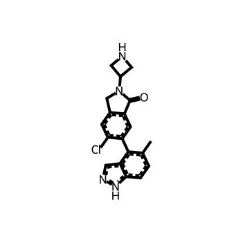 Cc1ccc2[nH]ncc2c1-c1cc2c(cc1Cl)CN(C1CNC1)C2=O